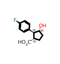 O=C(O)[C@H]1CC[C@@H](O)[C@@H]1c1ccc(F)cc1